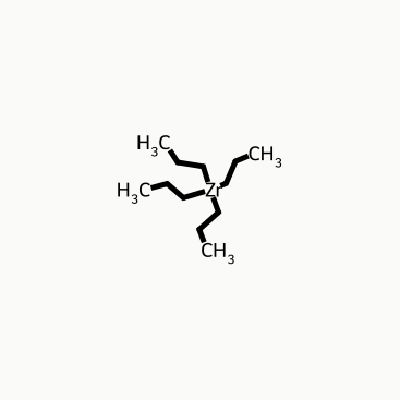 CC[CH2][Zr]([CH2]CC)([CH2]CC)[CH2]CC